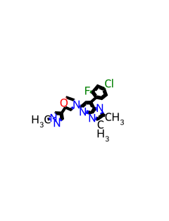 Cc1nc2nc(N3CCOC(c4cnn(C)c4)C3)cc(-c3ccc(Cl)cc3F)c2nc1C